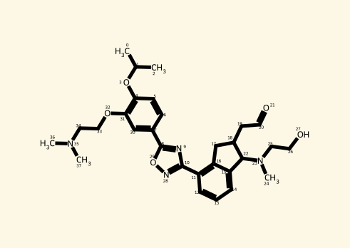 CC(C)Oc1ccc(-c2nc(-c3cccc4c3CC(CC=O)C4N(C)CCO)no2)cc1OCCN(C)C